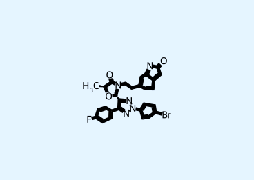 C[C@@H]1O[C@H](c2nn(-c3ccc(Br)cc3)nc2-c2ccc(F)cc2)N(CCc2ccc3c(c2)=NC(=O)C=3)C1=O